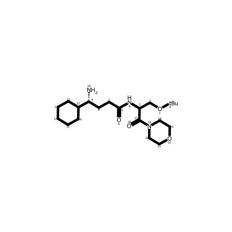 CC(C)(C)OCC(NC(=O)CC[C@@H](N)C1CCCCC1)C(=O)N1CCOCC1